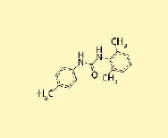 [CH2]c1ccc(NC(=O)Nc2c(C)cccc2C)cc1